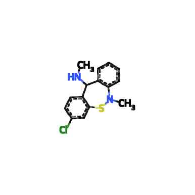 CNC1c2ccc(Cl)cc2SN(C)c2ccccc21